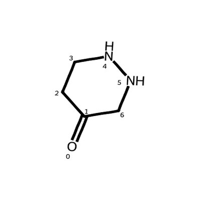 O=C1CCNNC1